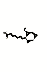 CC[C@@H]1CC1CC1C[C@@H]1CC1C[C@H]1CCCCCCCC(=O)O